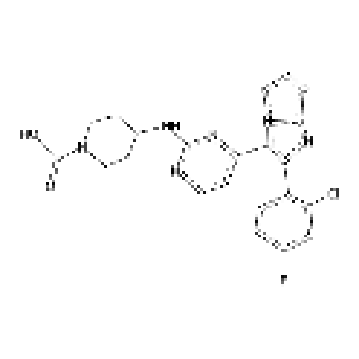 O=C(O)N1CCC(Nc2nccc(-c3c(-c4ccc(F)cc4Cl)nc4occn34)n2)CC1